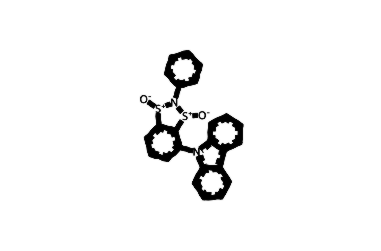 [O-][S+]1c2cccc(-n3c4ccccc4c4ccccc43)c2[S+]([O-])N1c1ccccc1